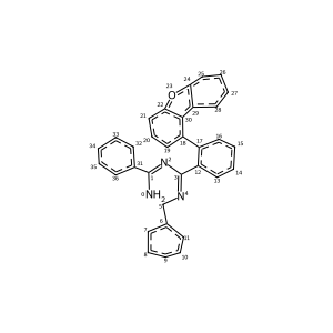 N/C(=N\C(=N/Cc1ccccc1)c1ccccc1-c1cccc2oc3ccccc3c12)c1ccccc1